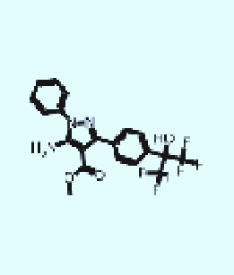 COC(=O)c1c(-c2ccc(C(O)(C(F)(F)F)C(F)(F)F)cc2)nn(-c2ccccc2)c1N